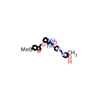 COc1ccc2c(COc3cccc4[nH]c(C(=O)NC5CCN(CCN6CC[C@H](O)[C@@H](C)C6)CC5)cc34)coc2c1